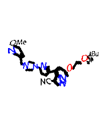 COc1ccc(CN2CCN(c3ccc(-c4cc(OCCCO[Si](C)(C)C(C)(C)C)cn5ncc(C#N)c45)cn3)CC2)cn1